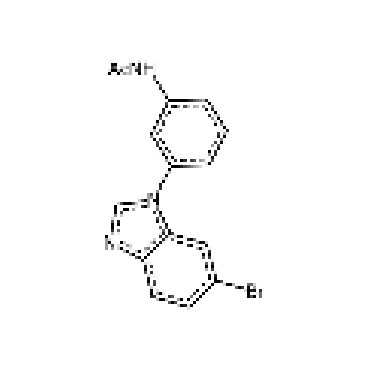 CC(=O)Nc1cccc(-n2cnc3ccc(Br)cc32)c1